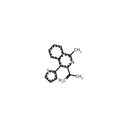 C=C(C)c1nc(C)c2ccccc2c1-c1cccs1